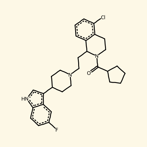 O=C(C1CCCC1)N1CCc2c(Cl)cccc2C1CCN1CCC(c2c[nH]c3ccc(F)cc23)CC1